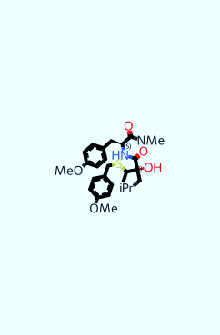 CNC(=O)[C@H](Cc1ccc(OC)cc1)NC(=O)[C@](O)(CC(C)C)C(C)SCc1ccc(OC)cc1